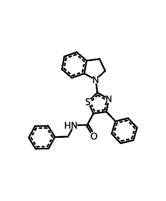 O=C(NCc1ccccc1)c1sc(N2CCc3ccccc32)nc1-c1ccccc1